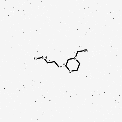 CCNCCC[C@@H]1CN(CC(C)C)CCO1